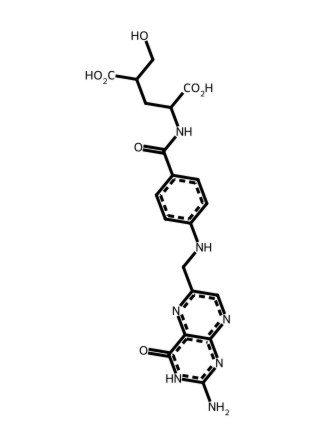 Nc1nc2ncc(CNc3ccc(C(=O)NC(CC(CO)C(=O)O)C(=O)O)cc3)nc2c(=O)[nH]1